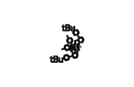 Cc1ccc(C2(c3ccc(C)cc3)C3=Cc4c(-c5ccc(C(C)(C)C)cc5)cccc4[CH]3[Hf]([CH3])([CH3])[CH]3C2=Cc2c(-c4ccc(C(C)(C)C)cc4)cccc23)cc1